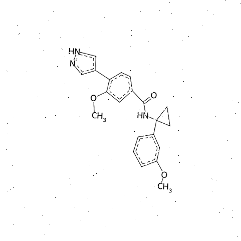 COc1cccc(C2(NC(=O)c3ccc(-c4cn[nH]c4)c(OC)c3)CC2)c1